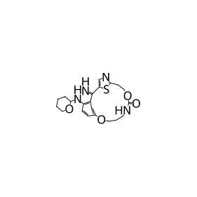 N=C1c2cnc(s2)CCOC(=O)NCCCOc2ccc(NC3CCCCO3)c1c2